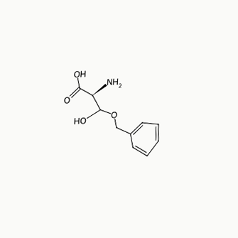 N[C@H](C(=O)O)C(O)OCc1ccccc1